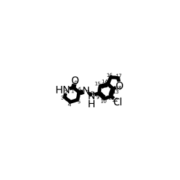 O=C1NCCC/C1=N\Nc1cc(Cl)c2c(c1)CCO2